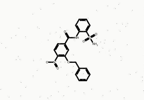 NS(=O)(=O)c1ccccc1NC(=O)c1ccc([N+](=O)[O-])c(OCc2ccccc2)c1